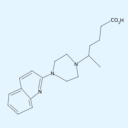 CC(CCCC(=O)O)N1CCN(c2ccc3ccccc3n2)CC1